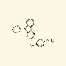 Nc1ccc(Br)c(-c2ccc3c(c2)c2ccccc2n3-c2ccccc2)c1